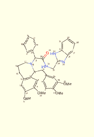 COc1ccc(CC2c3cc(OC)c(OC)cc3CCCN2C(C(=O)NCc2nc3ccccc3[nH]2)c2ccccc2)cc1OC